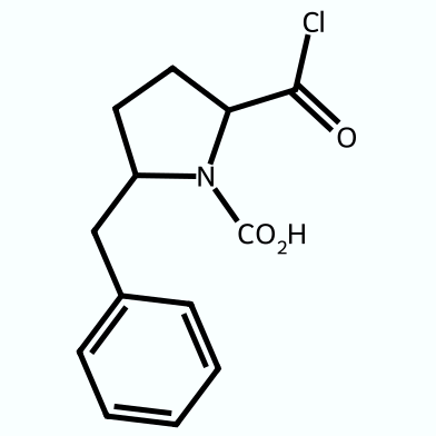 O=C(Cl)C1CCC(Cc2ccccc2)N1C(=O)O